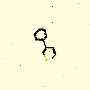 C/C=C\C(=C/S)c1ccccc1